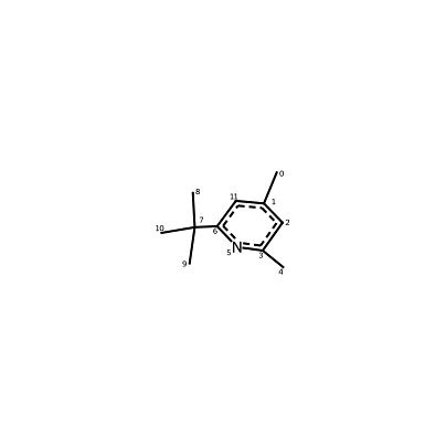 Cc1cc(C)nc(C(C)(C)C)c1